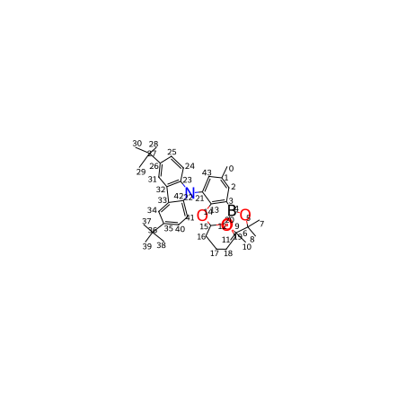 Cc1cc(B2OC(C)(C)C(C)(C)O2)c(OC2CCCCO2)c(-n2c3ccc(C(C)(C)C)cc3c3cc(C(C)(C)C)ccc32)c1